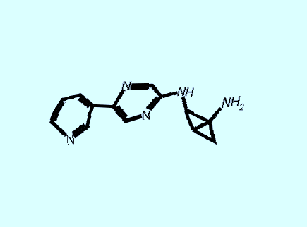 NC12CC1C2Nc1cnc(-c2cccnc2)cn1